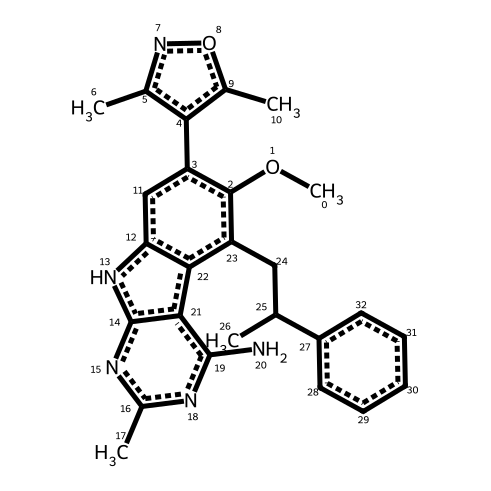 COc1c(-c2c(C)noc2C)cc2[nH]c3nc(C)nc(N)c3c2c1CC(C)c1ccccc1